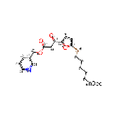 CCCCCCCCCCCCCCCSc1ccc(C(=O)CC(=O)OCc2cccnc2)o1